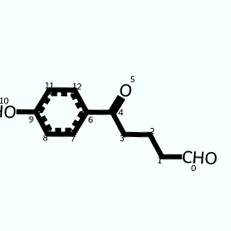 O=CCCCC(=O)c1ccc(O)cc1